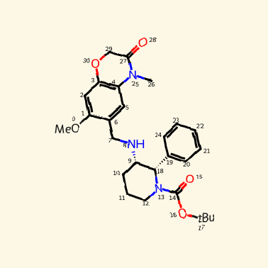 COc1cc2c(cc1CN[C@H]1CCCN(C(=O)OC(C)(C)C)[C@H]1c1ccccc1)N(C)C(=O)CO2